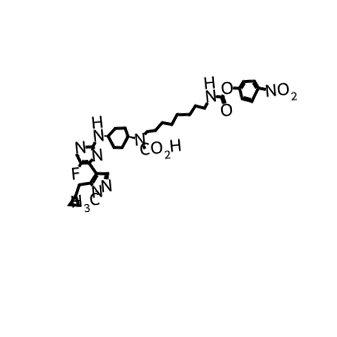 Cn1ncc(-c2nc(N[C@H]3CC[C@H](N(CCCCCCCCNC(=O)Oc4ccc([N+](=O)[O-])cc4)C(=O)O)CC3)ncc2F)c1CC1CC1